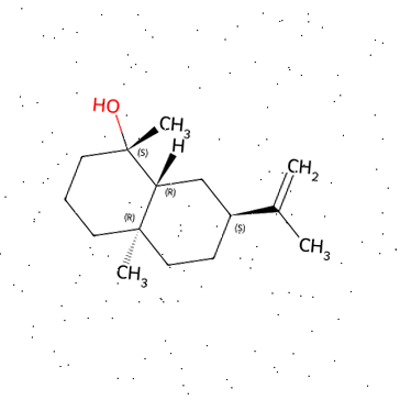 C=C(C)[C@H]1CC[C@@]2(C)CCC[C@](C)(O)[C@@H]2C1